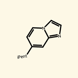 CCCC(C)c1ccn2ccnc2c1